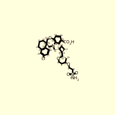 NS(=O)(=O)CCO[C@H]1CCO[C@H]([C@@H]2CC[C@H]2CN2C[C@@]3(CCCc4cc(Cl)ccc43)COc3ccc(C(=O)O)cc32)C1